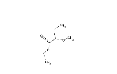 CCOC(=O)C(CN)OC